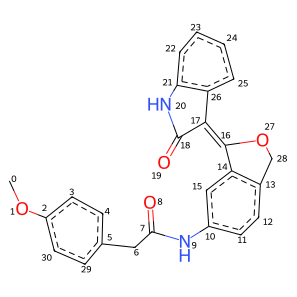 COc1ccc(CC(=O)Nc2ccc3c(c2)C(=C2C(=O)Nc4ccccc42)OC3)cc1